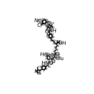 Cc1ncsc1-c1ccc([C@H](C)NC(=O)[C@@H]2C[C@@H](O)CN2C(=O)[C@@H](NC(=O)CCCC/C(CCCc2ccc(C(=O)N[C@H]3C(C)(C)[C@H](Oc4ccc(C#N)c(Cl)c4)C3(C)C)nc2)=N\O)C(C)(C)C)cc1